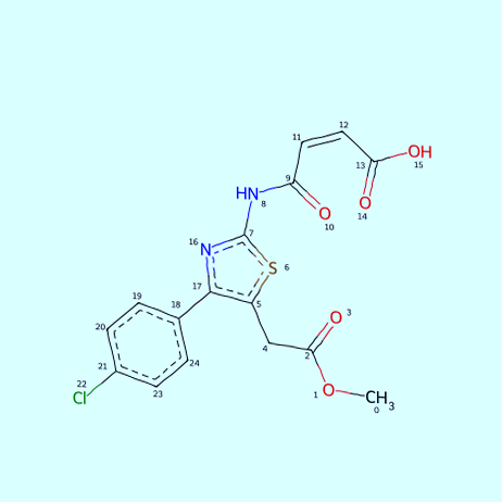 COC(=O)Cc1sc(NC(=O)/C=C\C(=O)O)nc1-c1ccc(Cl)cc1